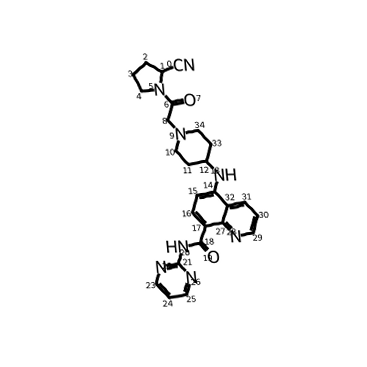 N#CC1CCCN1C(=O)CN1CCC(Nc2ccc(C(=O)Nc3ncccn3)c3ncccc23)CC1